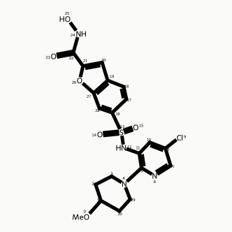 COC1CCN(c2ncc(Cl)cc2NS(=O)(=O)c2ccc3cc(C(=O)NO)oc3c2)CC1